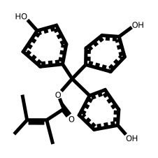 CC(C)=C(C)C(=O)OC(c1ccc(O)cc1)(c1ccc(O)cc1)c1ccc(O)cc1